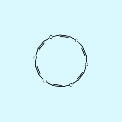 C1=C\O/C=C\O/C=C\O/C=C\O/C=C\O/C=C\O/1